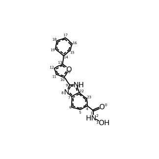 O=C(NO)c1ccc2nc(-c3ccc(-c4ccccc4)o3)[nH]c2c1